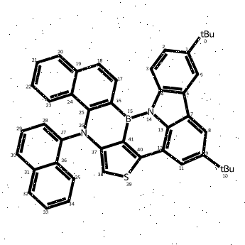 CC(C)(C)c1ccc2c(c1)c1cc(C(C)(C)C)cc3c1n2B1c2ccc4ccccc4c2N(c2cccc4ccccc24)c2csc-3c21